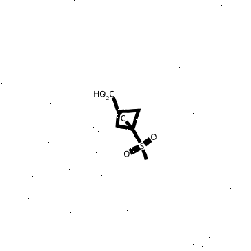 CS(=O)(=O)C12CC(C(=O)O)(C1)C2